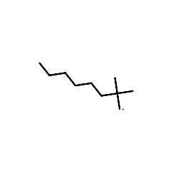 [CH2]C(C)(C)CCCCCC